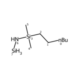 CCCCCC[Si](C)(C)N[SiH3]